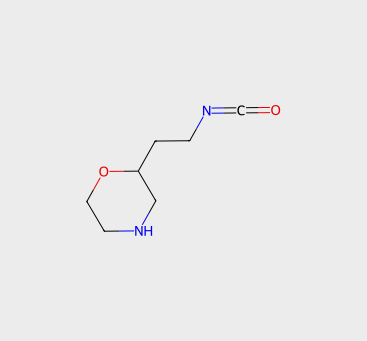 O=C=NCCC1CNCCO1